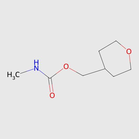 CNC(=O)OCC1CCOCC1